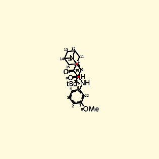 COc1cccc(NC(=O)CN2CC3CC(C2)N3CC(=O)NC(C)(C)C)c1